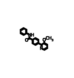 COc1cccnc1-c1ccc(C(=O)Nc2ccccc2)cc1